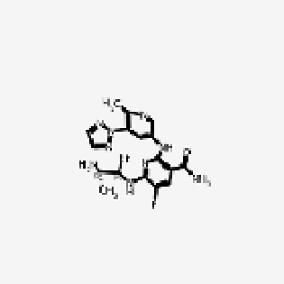 CC[C@@H](Nc1nc(Nc2cnc(C)c(-n3nccn3)c2)c(C(N)=O)cc1F)[C@H](C)N